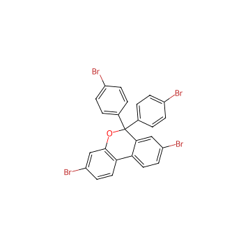 Brc1ccc(C2(c3ccc(Br)cc3)Oc3cc(Br)ccc3-c3ccc(Br)cc32)cc1